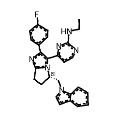 CCNc1nccc(-c2c(-c3ccc(F)cc3)nc3n2[C@H](Cn2ccc4ccccc42)CC3)n1